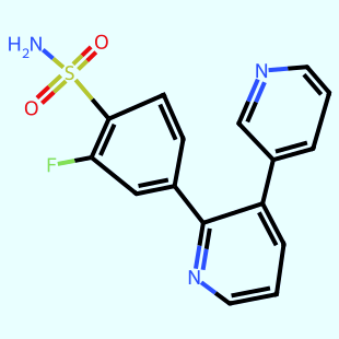 NS(=O)(=O)c1ccc(-c2ncccc2-c2cccnc2)cc1F